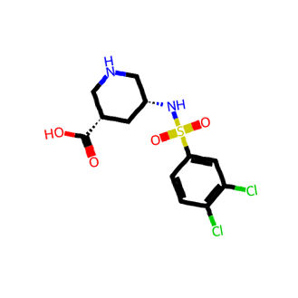 O=C(O)[C@@H]1CNC[C@H](NS(=O)(=O)c2ccc(Cl)c(Cl)c2)C1